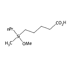 CCC[Si](C)(CCCCC(=O)O)OC